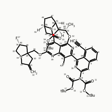 C#Cc1cccc2cc(N(C(=O)OC(C)(C)C)C(=O)OC(C)(C)C)nc(-c3nc4c5c(nc(OCC67CC(=C)CN6C[C@H](F)C7)nc5c3F)N3C[C@H]5CC[C@@H]([C@H]3[C@H](C)O4)N5C(=O)OC(C)(C)C)c12